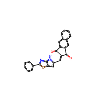 O=C1C(=Cc2cc3sc(-c4ccccc4)nc3[nH]2)C(=O)c2cc3ccccc3cc21